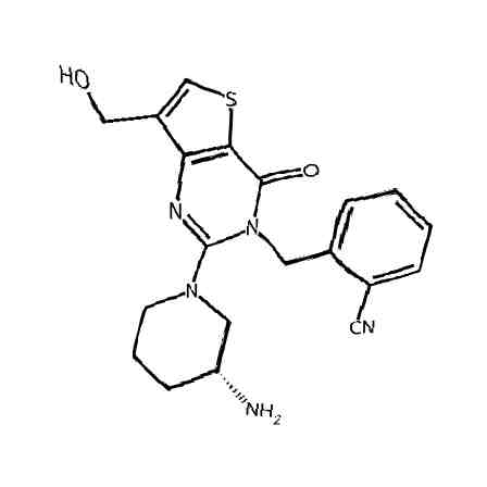 N#Cc1ccccc1Cn1c(N2CCC[C@@H](N)C2)nc2c(CO)csc2c1=O